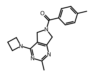 Cc1ccc(C(=O)N2Cc3nc(C)nc(N4CCC4)c3C2)cc1